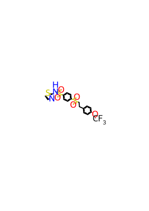 O=S(=O)(CCc1ccc(OC(F)(F)F)cc1)c1ccc(S(=O)(=O)Nc2nccs2)cc1